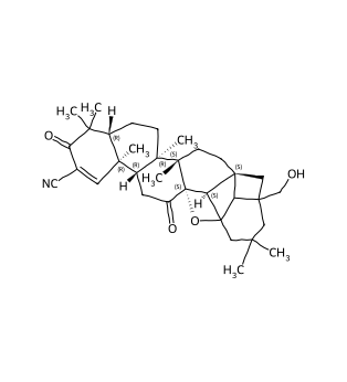 CC1(C)CC2(CO)C[C@@]34CC[C@@]5(C)[C@]6(C)CC[C@H]7C(C)(C)C(=O)C(C#N)=C[C@]7(C)[C@H]6CC(=O)[C@@]56OC(C1)(C23)[C@H]46